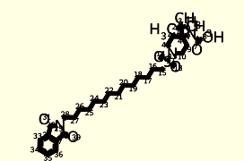 CC(C)(C)C1(NC(=O)O)CCN(S(=O)(=O)CCCCCCCCCCCCCCN2C(=O)c3ccccc3C2=O)CC1